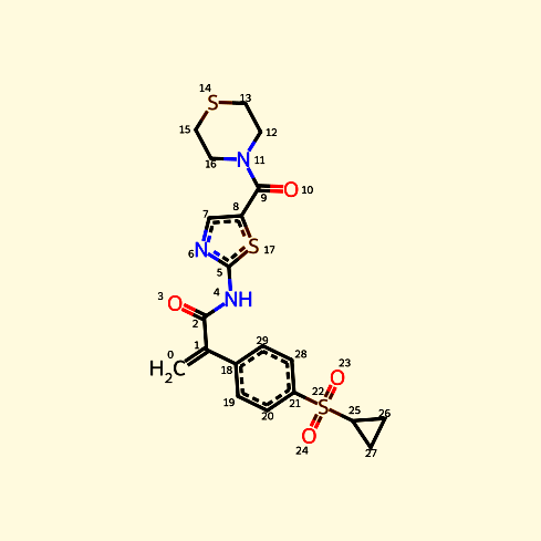 C=C(C(=O)Nc1ncc(C(=O)N2CCSCC2)s1)c1ccc(S(=O)(=O)C2CC2)cc1